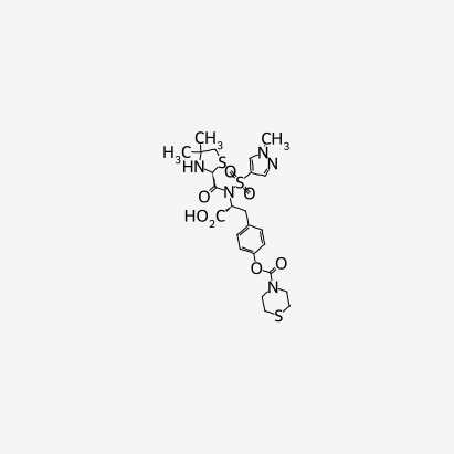 Cn1cc(S(=O)(=O)N(C(=O)[C@H]2NC(C)(C)CS2)[C@@H](Cc2ccc(OC(=O)N3CCSCC3)cc2)C(=O)O)cn1